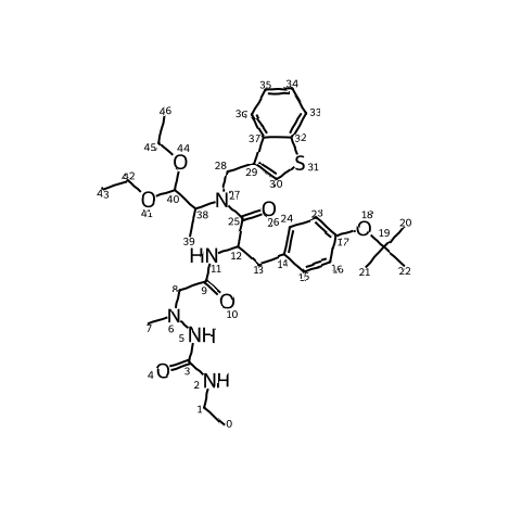 CCNC(=O)NN(C)CC(=O)NC(Cc1ccc(OC(C)(C)C)cc1)C(=O)N(Cc1csc2ccccc12)C(C)C(OCC)OCC